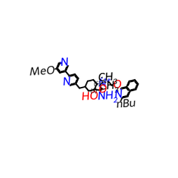 CCCCc1cc2ccccc2c(OCC[N+](C)(C)[C@H]2CCC(Cc3ccc(-c4cncc(OC)c4)nc3)C[C@@]2(O)C(N)=O)n1